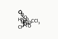 CC1=C(C(=O)OCC(Cl)(Cl)Cl)N2C(=O)C(NC(=O)COc3ccccc3)[C@@H]2SC1=CCl